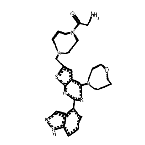 NCC(=O)N1CCN(Cc2cc3c(N4CCOCC4)nc(-c4cccc5[nH]ncc45)nc3s2)CC1